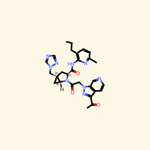 CCCc1ccc(C)nc1NC(=O)[C@@H]1C[C@@]2(Cn3cncn3)C[C@H]2N1C(=O)Cn1nc(C(C)=O)c2ccncc21